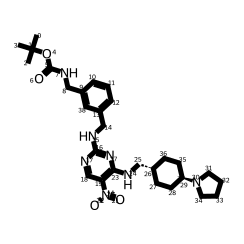 CC(C)(C)OC(=O)NCc1cccc(CNc2ncc([N+](=O)[O-])c(NC[C@H]3CC[C@H](N4CCCC4)CC3)n2)c1